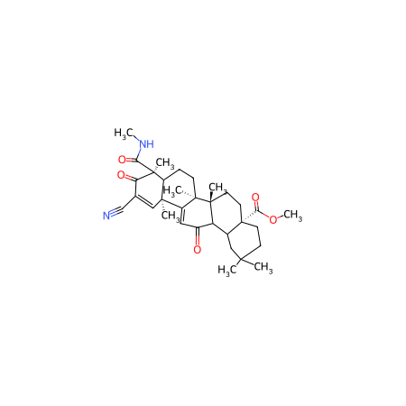 CNC(=O)[C@]1(C)C(=O)C(C#N)=C[C@]2(C)C3=CC(=O)C4C5CC(C)(C)CC[C@]5(C(=O)OC)CC[C@@]4(C)[C@]3(C)CCC12